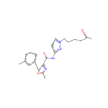 CC(=O)CCCCn1ccc(NC(=O)c2nc(C)oc2-c2cccc(C)c2)n1